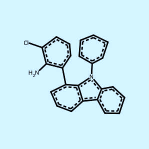 Nc1c(Cl)cccc1-c1cccc2c3ccccc3n(-c3ccccc3)c12